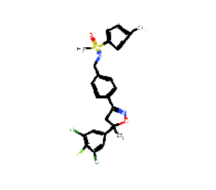 Cc1ccc(S(C)(=O)=NCc2ccc(C3=NOC(c4cc(Cl)c(F)c(Cl)c4)(C(F)(F)F)C3)cc2)cc1